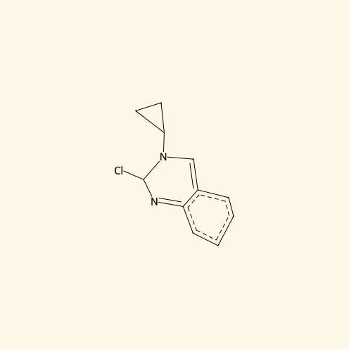 ClC1N=c2ccccc2=CN1C1CC1